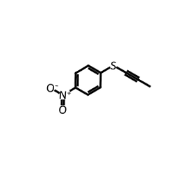 CC#CSc1ccc([N+](=O)[O-])cc1